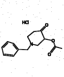 CC(=O)OC1CN(Cc2ccccc2)CCC1=O.Cl